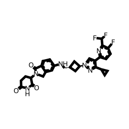 O=C1CCC(N2Cc3cc(NC[C@H]4C[C@H](n5cc(-c6ccc(F)c(C(F)F)n6)c(C6CC6)n5)C4)ccc3C2=O)C(=O)N1